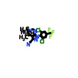 C=C(C)c1c(C#N)nn(-c2c(Cl)cc(C(F)(F)F)cc2Cl)c1/N=C\N(C)C